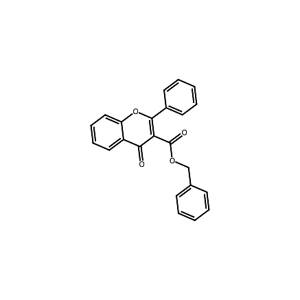 O=C(OCc1ccccc1)c1c(-c2ccccc2)oc2ccccc2c1=O